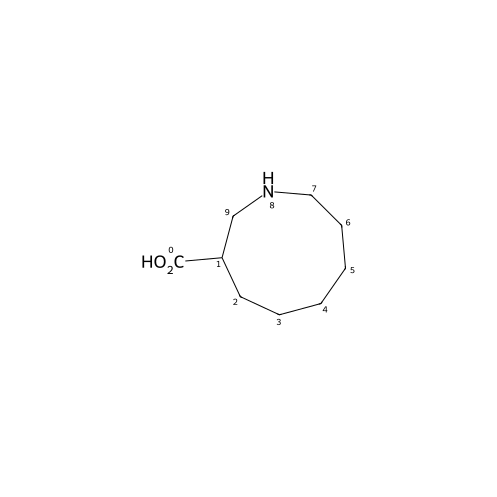 O=C(O)C1CCCCCCNC1